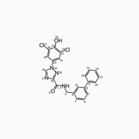 O=C(NCc1cccc(-c2ccccc2)c1)c1ncn(-c2cc(Cl)c(O)c(Cl)c2)n1